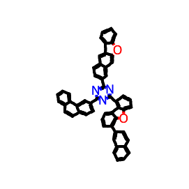 c1ccc2cc(-c3cccc4c3oc3cccc(-c5nc(-c6ccc7cc8c(cc7c6)oc6ccccc68)nc(-c6ccc7ccc8ccccc8c7c6)n5)c34)ccc2c1